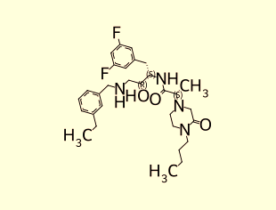 CCCCN1CCN([C@@H](C)C(=O)N[C@@H](Cc2cc(F)cc(F)c2)[C@H](O)CNCc2cccc(CC)c2)CC1=O